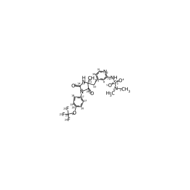 CN(C)S(=O)(=O)Nc1cc(CC2(C)NC(=O)N(c3ccc(OC(F)(F)F)cc3)C2=O)ccn1